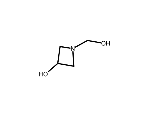 OCN1CC(O)C1